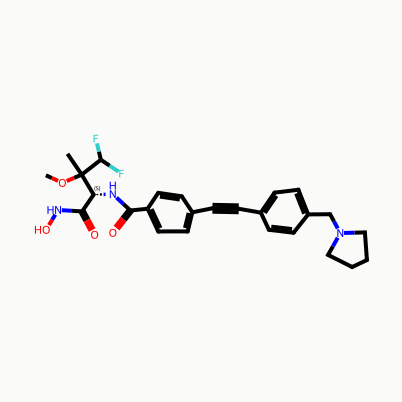 COC(C)(C(F)F)[C@H](NC(=O)c1ccc(C#Cc2ccc(CN3CCCC3)cc2)cc1)C(=O)NO